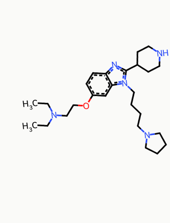 CCN(CC)CCOc1ccc2nc(C3CCNCC3)n(CCCCN3CCCC3)c2c1